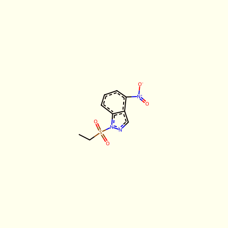 CCS(=O)(=O)n1ncc2c([N+](=O)[O-])cccc21